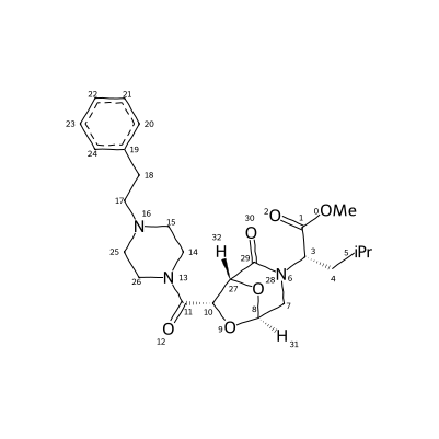 COC(=O)[C@H](CC(C)C)N1C[C@H]2O[C@H](C(=O)N3CCN(CCc4ccccc4)CC3)[C@@H](O2)C1=O